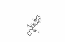 N[C@@H](Cc1ccccc1)[C@H](O)CNCc1nc2ccccc2[nH]1